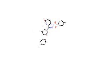 Cc1ccc(S(=O)(=O)n2nc(-c3cc(C)cc(Oc4ccc(C(F)(F)F)cc4)c3)c3c2ccc(=O)n3C)cc1